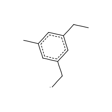 [CH2]Cc1cc(C)cc(CC)c1